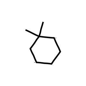 CC1(C)[CH]CC[CH]C1